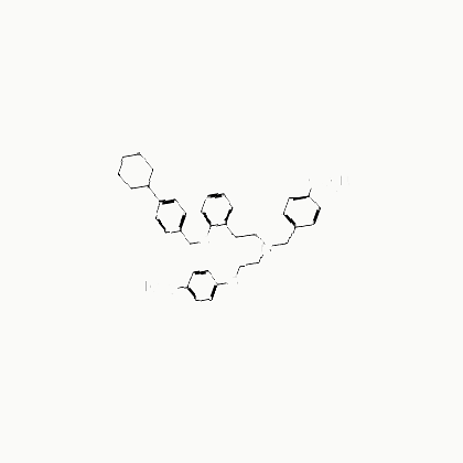 O=C(O)c1ccc(CN(CCOc2ccc(C(=O)O)cc2)CCc2ccccc2OCc2ccc(C3CCCCC3)cc2)cc1